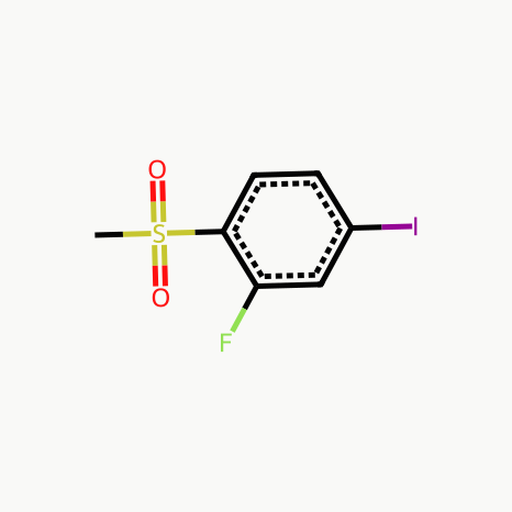 CS(=O)(=O)c1ccc(I)cc1F